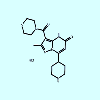 Cc1nn2c(C3CCNCC3)cc(=O)[nH]c2c1C(=O)N1CCSCC1.Cl